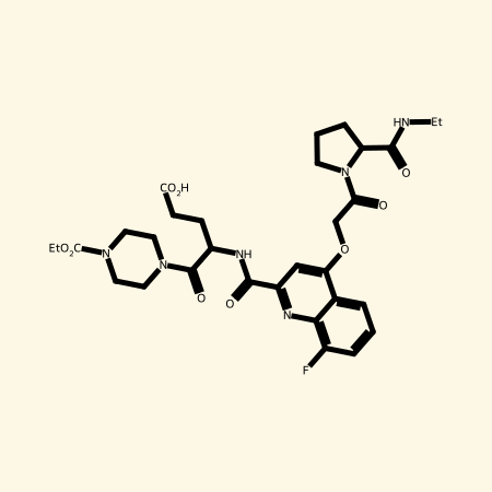 CCNC(=O)C1CCCN1C(=O)COc1cc(C(=O)NC(CCC(=O)O)C(=O)N2CCN(C(=O)OCC)CC2)nc2c(F)cccc12